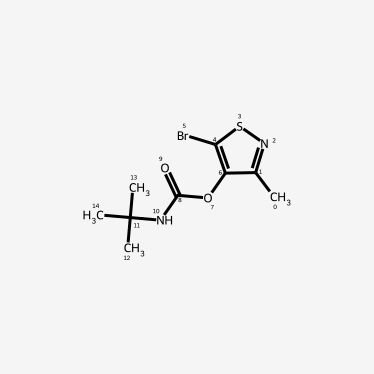 Cc1nsc(Br)c1OC(=O)NC(C)(C)C